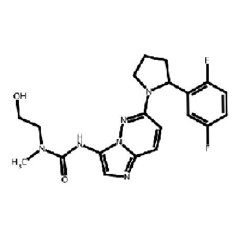 CN(CCO)C(=O)Nc1cnc2ccc(N3CCCC3c3cc(F)ccc3F)nn12